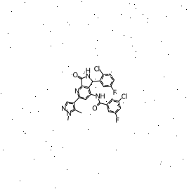 Cc1c(-c2cc(NC(=O)c3cc(F)cc(Cl)c3)c3c(n2)C(=O)NC3c2cc(F)ccc2Cl)cnn1C